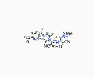 CNNCC(CC#N)/N=C(C)/C(=C(/C#N)C=O)N1CCN(C(C)c2ccc(C3CC3)nc2)CC1C